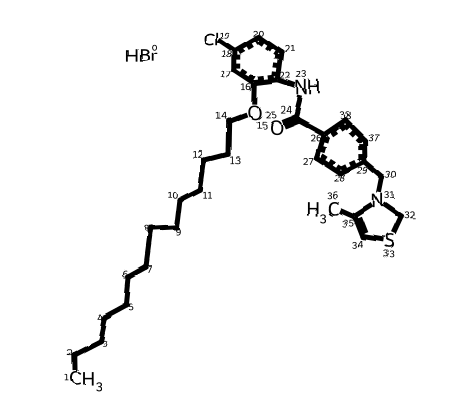 Br.CCCCCCCCCCCCCCOc1cc(Cl)ccc1NC(=O)c1ccc(CN2CSC=C2C)cc1